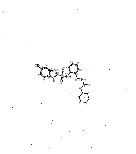 CC(CC1CCCCC1)NCc1ccccc1NS(=O)(=O)c1nc2cc(Cl)ccc2s1